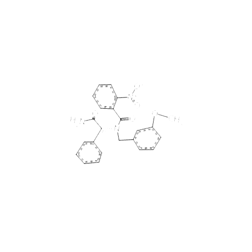 COc1cccc(CN(C(=O)c2ccccc2[N+](=O)[O-])[C@@H](C(N)=O)c2ccccc2)c1